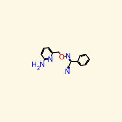 N#C/C(=N\OCc1cccc(N)n1)c1ccccc1